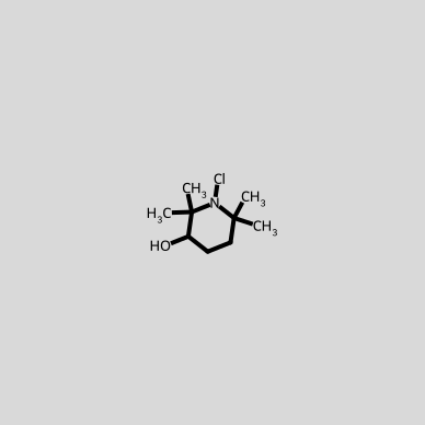 CC1(C)CCC(O)C(C)(C)N1Cl